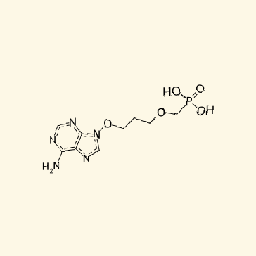 Nc1ncnc2c1ncn2OCCCOCP(=O)(O)O